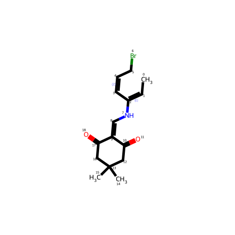 C/C=C(\C=C/CBr)NC=C1C(=O)CC(C)(C)CC1=O